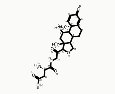 CC12CC(O)C3C(CCC4=CC(=O)C=C[C@@]43C)C1COC2C(=O)COC(=O)[C@@H](N)CC(=O)O